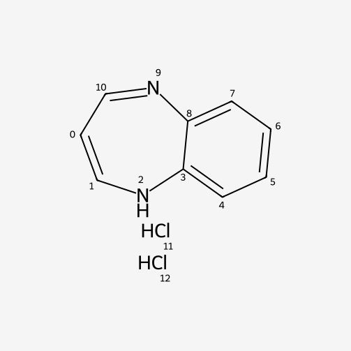 C1=CNc2ccccc2N=C1.Cl.Cl